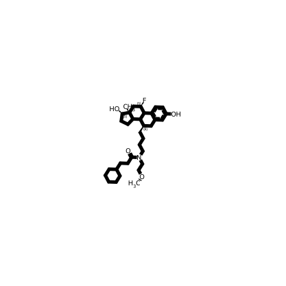 COCCN(CCCC[C@@H]1Cc2cc(O)ccc2C2C1C1CC[C@H](O)[C@@]1(C)C[C@@H]2F)C(=O)CCC1CCCCC1